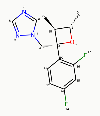 C[C@@H]1O[C@@](Cn2cncn2)(c2ccc(F)cc2F)[C@H]1C